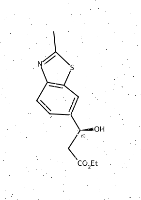 CCOC(=O)C[C@H](O)c1ccc2nc(C)sc2c1